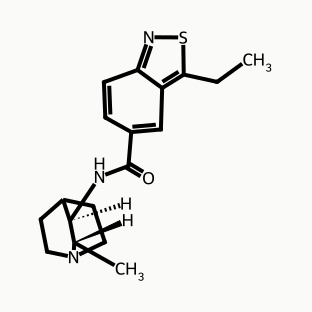 CCc1snc2ccc(C(=O)N[C@@H]3C4CCN(CC4)[C@H]3C)cc12